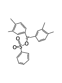 Cc1ccc([I+](OS(=O)(=O)c2ccccc2)c2ccc(C)c(C)c2)cc1C